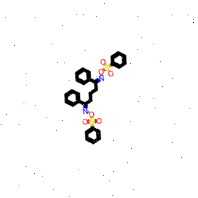 O=S(=O)(O/N=C(/CCC/C(=N\OS(=O)(=O)c1ccccc1)c1ccccc1)c1ccccc1)c1ccccc1